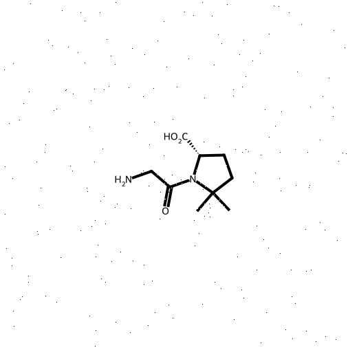 CC1(C)CC[C@@H](C(=O)O)N1C(=O)CN